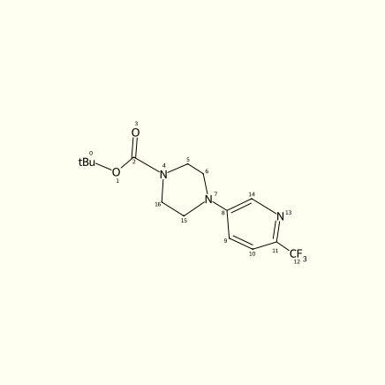 CC(C)(C)OC(=O)N1CCN(c2ccc(C(F)(F)F)nc2)CC1